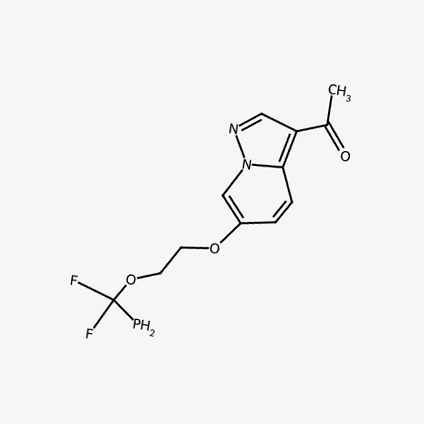 CC(=O)c1cnn2cc(OCCOC(F)(F)P)ccc12